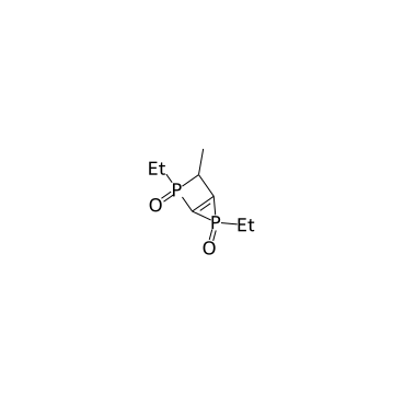 CCP1(=O)C2=C1P(=O)(CC)C2C